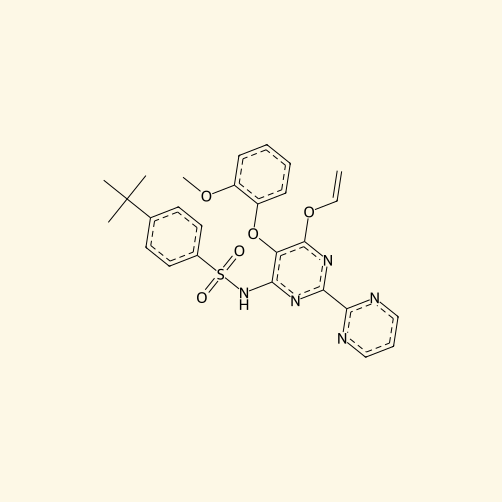 C=COc1nc(-c2ncccn2)nc(NS(=O)(=O)c2ccc(C(C)(C)C)cc2)c1Oc1ccccc1OC